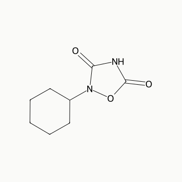 O=c1[nH]c(=O)n(C2CCCCC2)o1